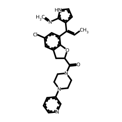 C=Nc1[nH]ccc1/C(=C\C)c1cc(Cl)cc2c1OC(C(=O)N1CCN(c3cccnc3)CC1)C2